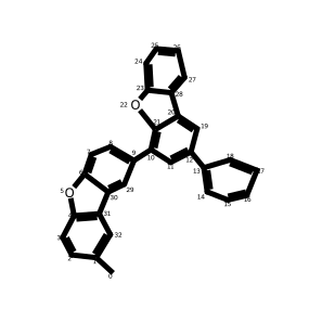 Cc1ccc2oc3ccc(-c4cc(-c5ccccc5)cc5c4oc4ccccc45)cc3c2c1